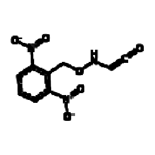 O=C=CNOCc1c([N+](=O)[O-])cccc1[N+](=O)[O-]